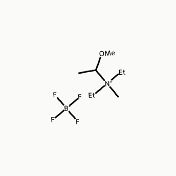 CC[N+](C)(CC)C(C)OC.F[B-](F)(F)F